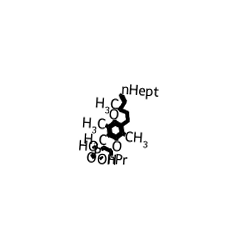 CCCCCCC/C=C/C1(C)CCc2c(C)c(OC(CCC)CP(=O)(O)O)c(C)c(C)c2O1